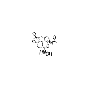 CC(=O)Nc1ccc(CN2C(=O)COc3ccc(C(=O)NO)cc32)cc1